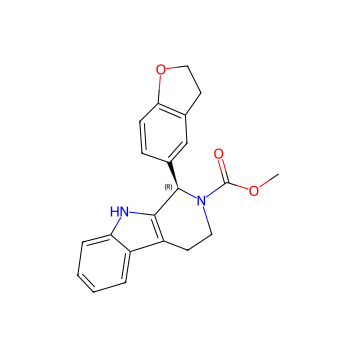 COC(=O)N1CCc2c([nH]c3ccccc23)[C@H]1c1ccc2c(c1)CCO2